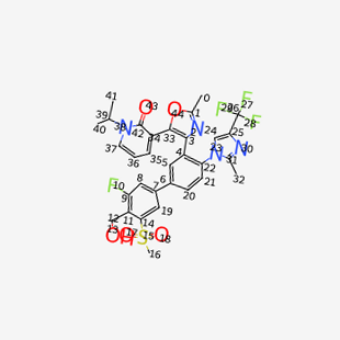 Cc1nc(-c2cc(-c3cc(F)c(CO)c(S(C)(=O)=O)c3)ccc2-n2cc(C(F)(F)F)nc2C)c(-c2cccn(C(C)C)c2=O)o1